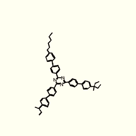 CCCCCCc1ccc(-c2ccc(-c3nc(-c4ccc(-c5ccc(C(C)CC)cc5)cc4)nc(-c4ccc(-c5ccc(C(C)(CC)CC)cc5)cc4)n3)cc2)cc1